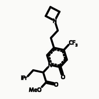 COC(=O)C(CC(C)C)n1cc(CCN2CCC2)c(C(F)(F)F)cc1=O